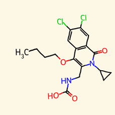 CCCCOc1c(CNC(=O)O)n(C2CC2)c(=O)c2cc(Cl)c(Cl)cc12